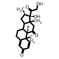 C[C@@H]1CC2C3CCC4=CC(=O)C=CC4(C)[C@@]3(F)C(=O)CC2(C)[C@@]1(O)C(=O)CO